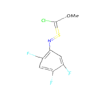 COC(Cl)=S=Nc1cc(F)c(F)cc1F